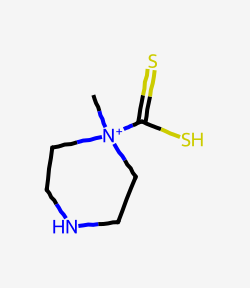 C[N+]1(C(=S)S)CCNCC1